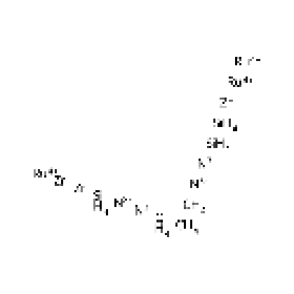 C.C.C.[N-3].[N-3].[N-3].[N-3].[Ru+4].[Ru+4].[Ru+4].[SiH4].[SiH4].[SiH4].[Zr].[Zr].[Zr]